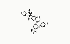 O=S(=O)(Nc1ccon1)c1cc2c(cc1F)[C@@H](N1CC[C@@H](C(F)(F)F)C[C@H]1c1ccc(F)cc1)CCO2